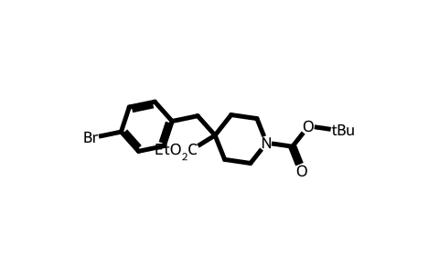 CCOC(=O)C1(Cc2ccc(Br)cc2)CCN(C(=O)OC(C)(C)C)CC1